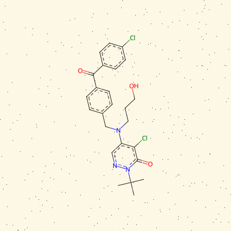 CC(C)(C)n1ncc(N(CCCO)Cc2ccc(C(=O)c3ccc(Cl)cc3)cc2)c(Cl)c1=O